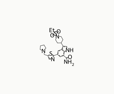 CCS(=O)(=O)N1CCC(c2c[nH]c3c(C(N)=O)cc(-c4ncc(CN5CCCC5)s4)cc23)CC1